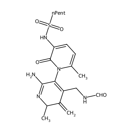 C=C1C(CNC=O)=C(n2c(C)ccc(NS(=O)(=O)CCCCC)c2=O)C(N)=NC1C